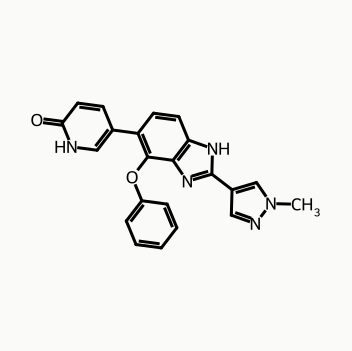 Cn1cc(-c2nc3c(Oc4ccccc4)c(-c4ccc(=O)[nH]c4)ccc3[nH]2)cn1